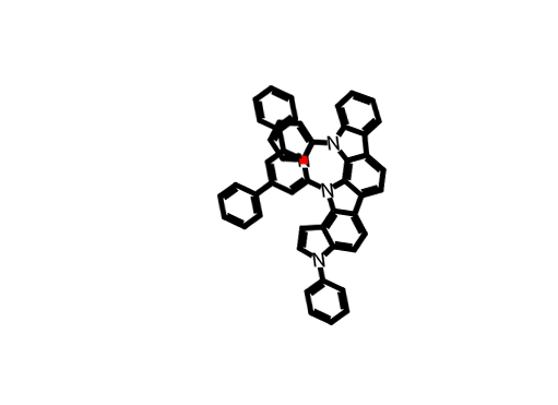 c1ccc(-c2cc(-c3ccccc3)nc(-n3c4c(ccc5c4ccn5-c4ccccc4)c4ccc5c6ccccc6n(-c6ccccc6)c5c43)c2)cc1